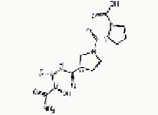 C[C@H](NC(=O)[C@@H]1CCN(C(=O)[C@H]2CCCN2C(=O)O)C1)[C@@H](O)C(N)=O